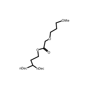 CCCCCCCCCCC(CCCCCCCCCC)CCOC(=O)COCCCOC